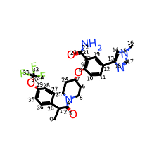 CC(C(=O)N1CCC(Oc2ccc(-c3cn(C)cn3)cc2C(N)=O)CC1)c1ccc(OC(F)(F)F)cc1